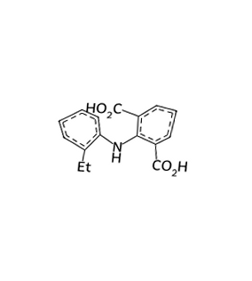 CCc1ccccc1Nc1c(C(=O)O)cccc1C(=O)O